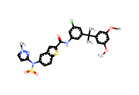 CC(C)Oc1cc(OC(F)(F)F)cc(C(C)(C)c2cc(Cl)cc(NC(=O)c3cc4cc(N(c5ccn(C)n5)[SH](=O)=O)ccc4s3)c2)c1